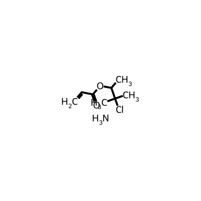 C=CC(=O)OC(C)C(C)(C)Cl.N